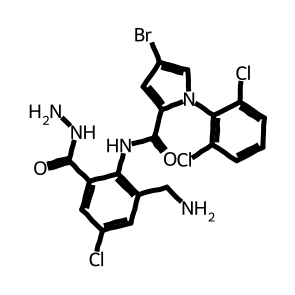 NCc1cc(Cl)cc(C(=O)NN)c1NC(=O)c1cc(Br)cn1-c1c(Cl)cccc1Cl